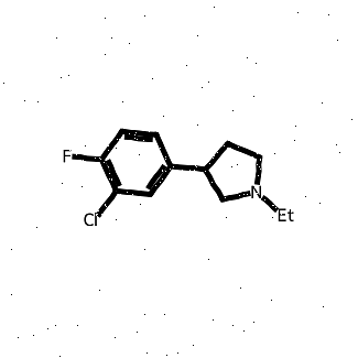 CCN1CCC(c2ccc(F)c(Cl)c2)C1